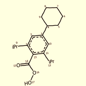 CC(C)c1cc(C2CCCCC2)cc(C(C)C)c1C(=O)OO